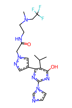 CC(C)c1c(O)nc(-n2ccnc2)nc1-c1cnn(CC(=O)NCCN(C)CC(F)(F)F)c1